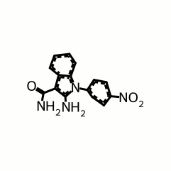 NC(=O)c1c(N)n(-c2ccc([N+](=O)[O-])cc2)c2ccccc12